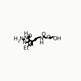 CCn1cc(C#CCNC(=O)COCCO)c2c(=O)[nH]c(N)nc21